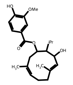 COc1cc(C(=O)OC2C/C(C)=C\CC/C(C)=C/C(O)C2C(C)C)ccc1O